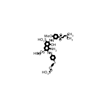 COc1ccc(S(=O)(=O)CCN(C)C)cc1N=Nc1c(S(=O)(=O)O)cc2cc(SOOO)c(N=Nc3ccc(SC#COOS(=O)(=O)O)cc3)c(N)c2c1O